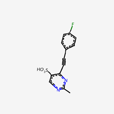 Cc1ncc(S(=O)(=O)O)c(C#Cc2ccc(F)cc2)n1